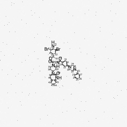 Nc1c(Br)cc(C(=O)C[C@H](NC(=O)c2ccc(N3CCN(Cc4ccccc4)CC3)cc2)C(=O)N2CCC(N3CCc4ccccc4NC3=O)CC2)cc1Br